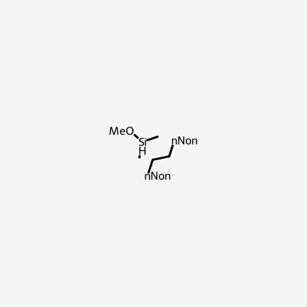 CCCCCCCCCCCCCCCCCCCC.CO[SiH](C)C